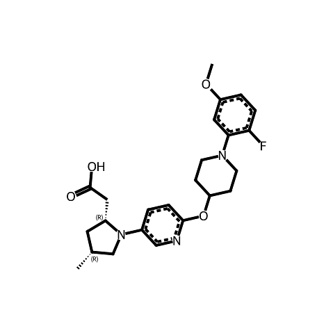 COc1ccc(F)c(N2CCC(Oc3ccc(N4C[C@H](C)C[C@@H]4CC(=O)O)cn3)CC2)c1